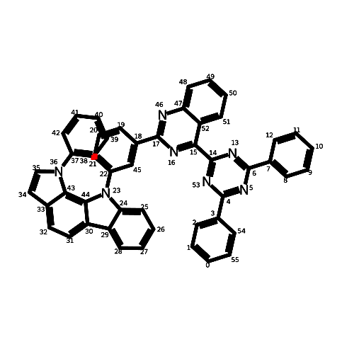 c1ccc(-c2nc(-c3ccccc3)nc(-c3nc(-c4cccc(-n5c6ccccc6c6ccc7ccn(-c8ccccc8)c7c65)c4)nc4ccccc34)n2)cc1